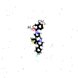 C=Cc1c(C)cccc1C(=O)N1C[C@@H](CN2CCC(c3ccc(F)cc3)CC2)[C@H](c2ccsc2)C1